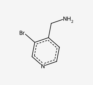 NCc1ccncc1Br